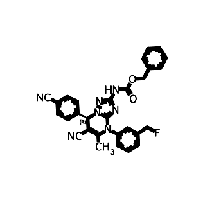 CC1=C(C#N)[C@@H](c2ccc(C#N)cc2)n2nc(NC(=O)OCc3ccccc3)nc2N1c1cccc(CF)c1